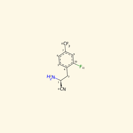 N#C[C@@H](N)Cc1ccc(C(F)(F)F)cc1F